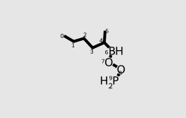 CCCCC(C)BOOP